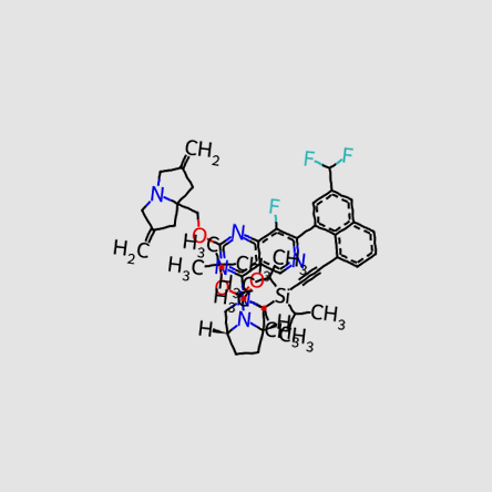 C=C1CN2CC(=C)CC2(COc2nc(N3C[C@H]4CC[C@@H](C3)N4C(=O)OC(C)(C)C)c3cnc(-c4cc(C(F)F)cc5cccc(C#C[Si](C(C)C)(C(C)C)C(C)C)c45)c(F)c3n2)C1